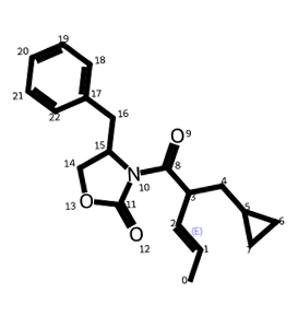 C/C=C/C(CC1CC1)C(=O)N1C(=O)OCC1Cc1ccccc1